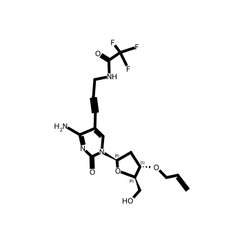 C=CCO[C@H]1C[C@H](n2cc(C#CCNC(=O)C(F)(F)F)c(N)nc2=O)O[C@@H]1CO